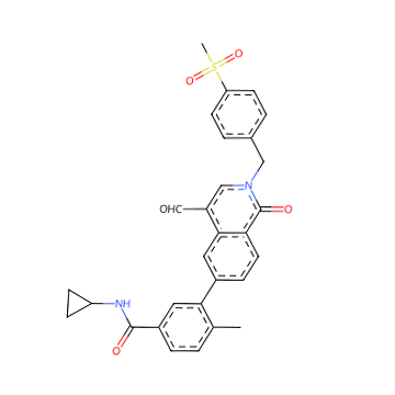 Cc1ccc(C(=O)NC2CC2)cc1-c1ccc2c(=O)n(Cc3ccc(S(C)(=O)=O)cc3)cc(C=O)c2c1